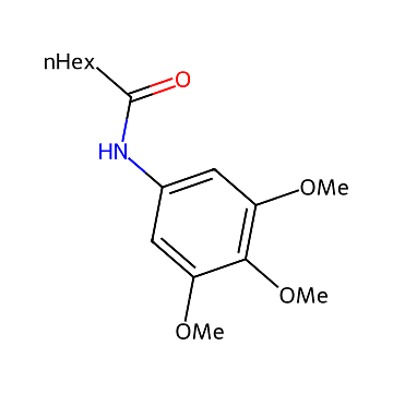 [CH2]CCCCCC(=O)Nc1cc(OC)c(OC)c(OC)c1